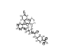 CCN(C(=O)C(C)C)c1cc(F)ccc1Oc1cncnc1N1CC2(CN(C(=O)Cc3ccc(S(C)(=O)=O)cc3)C2)C1